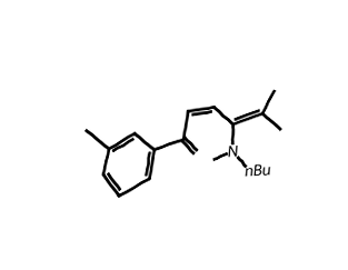 C=C(/C=C\C(=C(C)C)N(C)CCCC)c1cccc(C)c1